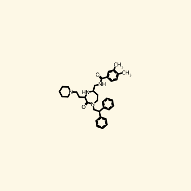 Cc1ccc(C(=O)NCC2CCN(CC(c3ccccc3)c3ccccc3)C(=O)C(CCN3CCCCC3)N2)cc1C